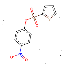 O=[N+]([O-])c1ccc(OS(=O)(=O)c2cccs2)cc1